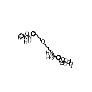 CC1(C)OCc2cc([C@H](O)CNCCCCCCOCCCCc3cccc(NC(=O)Nc4cccnc4)c3)ccc2O1